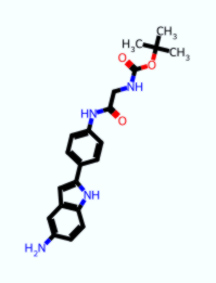 CC(C)(C)OC(=O)NCC(=O)Nc1ccc(-c2cc3cc(N)ccc3[nH]2)cc1